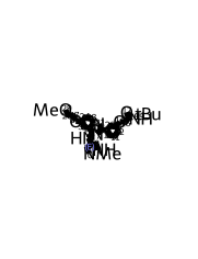 CN/C=C(\C=N)Nc1nc(-c2cccc(OCC(=O)NC(C)(C)C)c2)nc2ccc(OCCOC)cc12